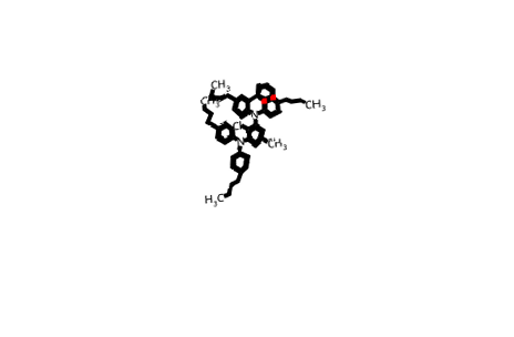 CCCCc1ccc(N(c2ccc(CCCC)cc2)c2cc(C)cc(N(c3ccc(CCCC)cc3)c3ccc(CCCC)cc3-c3ccccc3)c2Cl)cc1